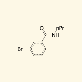 CCCNC(=O)c1cccc(Br)c1